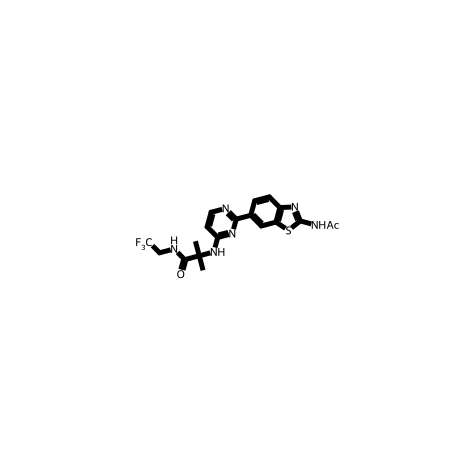 CC(=O)Nc1nc2ccc(-c3nccc(NC(C)(C)C(=O)NCC(F)(F)F)n3)cc2s1